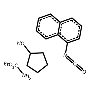 CCOC(N)=O.O=C=Nc1cccc2ccccc12.OC1CCCC1